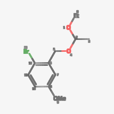 CCOC(C)OCc1cc(OC)ccc1Br